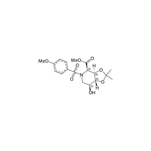 COC(=O)[C@H]1[C@H]2OC(C)(C)O[C@@H]2[C@@H](O)CN1S(=O)(=O)c1ccc(OC)cc1